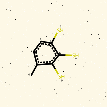 Cc1ccc(S)c(S)c1S